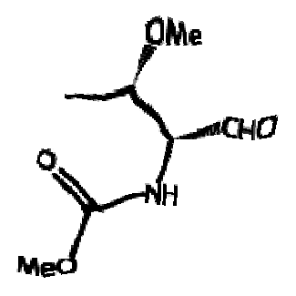 COC(=O)N[C@@H](C=O)[C@H](C)OC